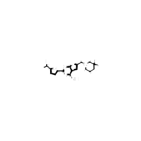 Nc1nc(-c2ccc(C(F)F)o2)nc2sc(CN3CCCC(F)(F)C3)cc12